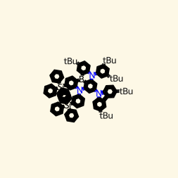 CC(C)(C)c1cc(N2c3ccc(C(C)(C)C)cc3B3c4ccc([Si](c5ccccc5)(c5ccccc5)c5ccccc5)cc4N(c4cccc([Si](c5ccccc5)(c5ccccc5)c5ccccc5)c4)c4cc(-n5c6ccc(C(C)(C)C)cc6c6cc(C(C)(C)C)ccc65)cc2c43)cc(C(C)(C)C)c1